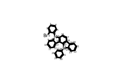 Brc1ccccc1-n1c2ccccc2c2c1ccc1c3ccccc3n(-c3ccccc3)c12